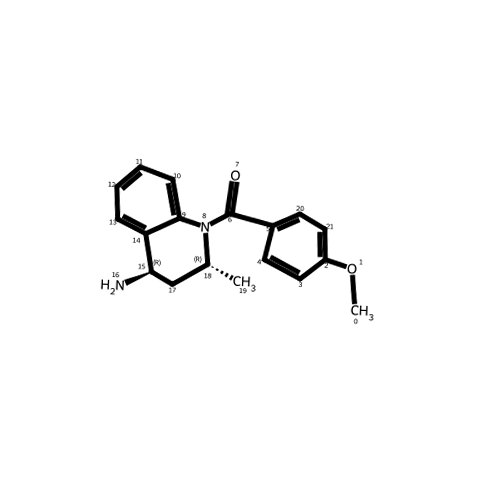 COc1ccc(C(=O)N2c3ccccc3[C@H](N)C[C@H]2C)cc1